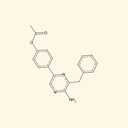 CC(=O)Oc1ccc(-c2cnc(N)c(Cc3ccccc3)n2)cc1